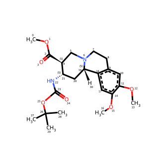 COC(=O)[C@H]1CN2CCc3cc(OC)c(OC)cc3[C@@H]2C[C@@H]1NC(=O)OC(C)(C)C